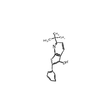 CC(C)(C)c1ccc2c(O)c(-c3ccccc3)sc2n1